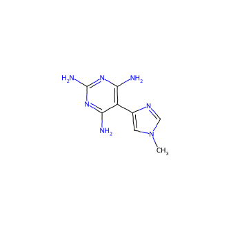 Cn1cnc(-c2c(N)nc(N)nc2N)c1